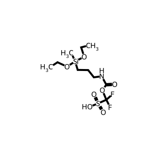 CCO[Si](C)(CCCNC(=O)OC(F)(F)S(=O)(=O)O)OCC